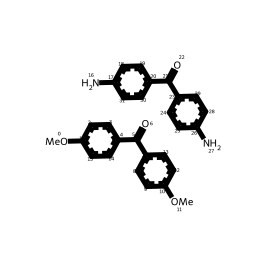 COc1ccc(C(=O)c2ccc(OC)cc2)cc1.Nc1ccc(C(=O)c2ccc(N)cc2)cc1